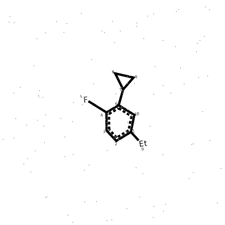 CCc1ccc(F)c(C2CC2)c1